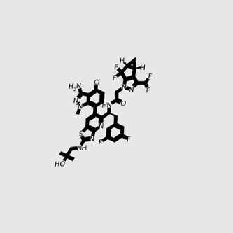 Cn1nc(N)c2c(Cl)ccc(-c3cc4sc(NCC(C)(C)O)nc4nc3[C@H](Cc3cc(F)cc(F)c3)NC(=O)Cn3nc(C(F)F)c4c3C(F)(F)[C@@H]3C[C@H]43)c21